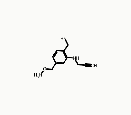 C#CCNc1cc(CON)ccc1CS